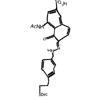 CCCCCCCCCCCCc1ccc(N/N=C2/C=Cc3cc(S(=O)(=O)O)cc(NC(C)=O)c3C2=O)cc1